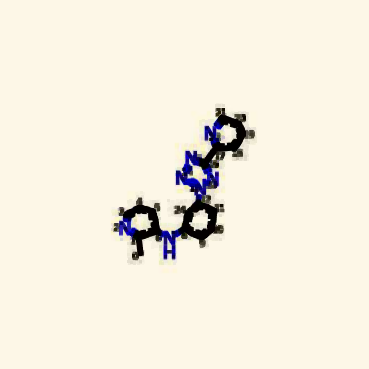 Cc1ncccc1Nc1cccc(-n2nnc(-c3ccccn3)n2)c1